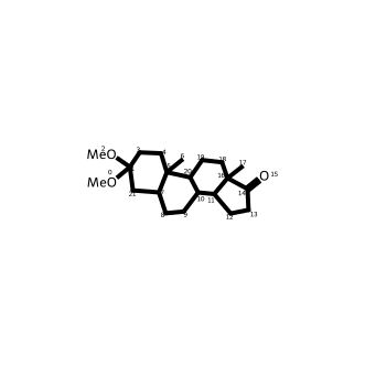 COC1(OC)CCC2(C)C(CCC3C4CCC(=O)C4(C)CCC32)C1